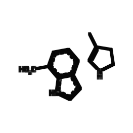 CC1=CNCC1.O=C(O)c1cccc2cc[nH]c12